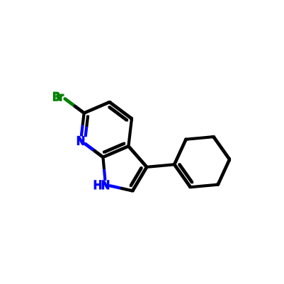 Brc1ccc2c(C3=CCCCC3)c[nH]c2n1